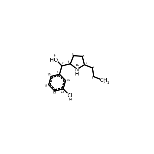 CCCC1CCC(C(O)c2cccc(Cl)c2)N1